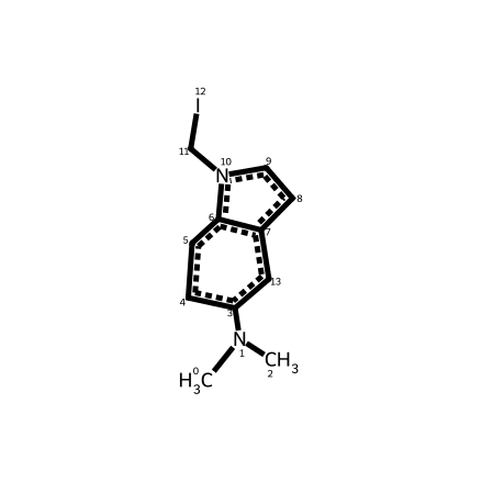 CN(C)c1ccc2c(ccn2CI)c1